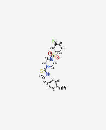 CCCc1ccc(Cc2csc(N3CCN(S(=O)(=O)c4cccc(F)c4)CC3)n2)cc1